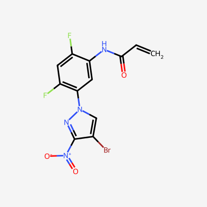 C=CC(=O)Nc1cc(-n2cc(Br)c([N+](=O)[O-])n2)c(F)cc1F